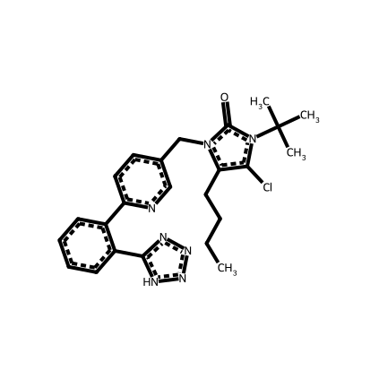 CCCCc1c(Cl)n(C(C)(C)C)c(=O)n1Cc1ccc(-c2ccccc2-c2nnn[nH]2)nc1